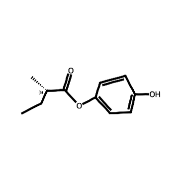 CC[C@H](C)C(=O)Oc1ccc(O)cc1